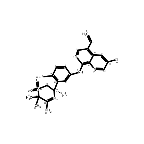 C=Cc1cnc(Nc2ccc(F)c([C@]3(C)CS(=O)(=O)C(C)(C)C(N)=N3)c2)c2ncc(Cl)cc12